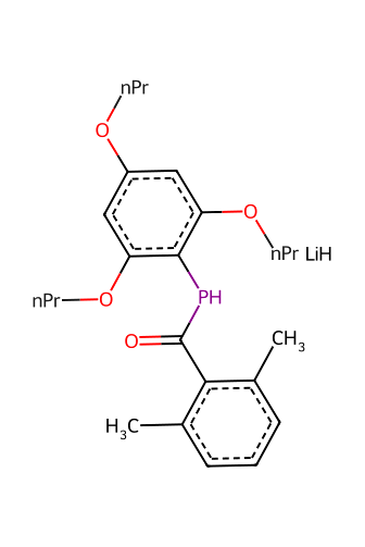 CCCOc1cc(OCCC)c(PC(=O)c2c(C)cccc2C)c(OCCC)c1.[LiH]